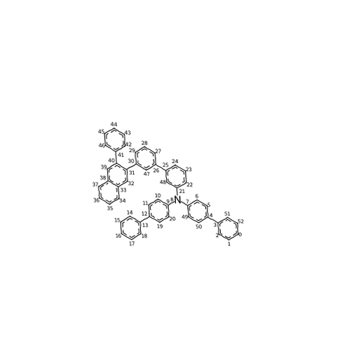 c1ccc(-c2ccc(N(c3ccc(-c4ccccc4)cc3)c3cccc(-c4cccc(-c5cc6ccccc6cc5-c5ccccc5)c4)c3)cc2)cc1